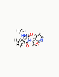 CCNC(=O)N(C(=O)C(C)(C)C)c1coc2ncccc12